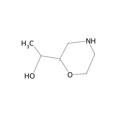 CC(O)[C]1CNCCO1